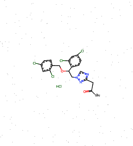 CC(C)(C)C(=O)Cc1ncn(CC(OCc2ccc(Cl)cc2Cl)c2ccc(Cl)cc2Cl)n1.Cl